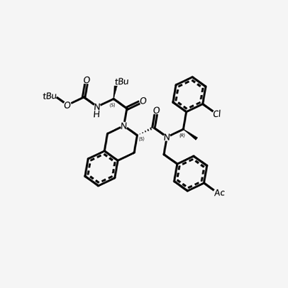 CC(=O)c1ccc(CN(C(=O)[C@@H]2Cc3ccccc3CN2C(=O)[C@@H](NC(=O)OC(C)(C)C)C(C)(C)C)[C@H](C)c2ccccc2Cl)cc1